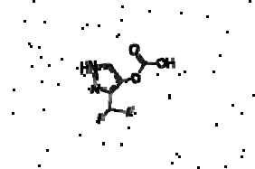 O=C(O)Oc1c[nH]nc1C(F)F